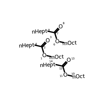 CCCCCCCCOC(=O)CCCCCCC.CCCCCCCCOC(=O)CCCCCCC.CCCCCCCCOC(=O)CCCCCCC